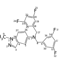 Cn1ncc2cc(N(Cc3cc(F)cc(F)c3)Cc3cc(F)cc(F)c3)ccc21